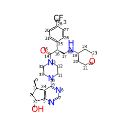 C[C@@H]1C[C@@H](O)c2ncnc(N3CCN(C(=O)[C@H](CNC4CCOCC4)c4ccc(C(F)(F)F)cc4)CC3)c21